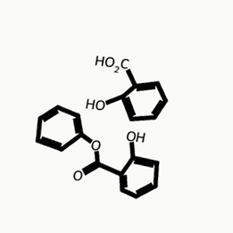 O=C(O)c1ccccc1O.O=C(Oc1ccccc1)c1ccccc1O